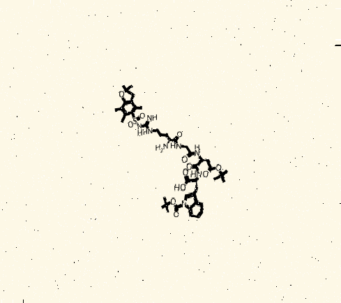 Cc1c(C)c(S(=O)(=O)NC(=N)NCCC[C@H](N)C(=O)NCC(=O)N[C@@H](CC(=O)OC(C)(C)C)C(=O)N[C@@H](Cc2cn(C(=O)OC(C)(C)C)c3ccccc23)C(=O)O)c(C)c2c1OC(C)(C)C2